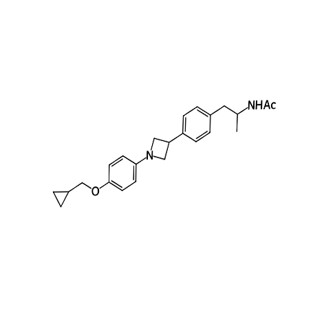 CC(=O)NC(C)Cc1ccc(C2CN(c3ccc(OCC4CC4)cc3)C2)cc1